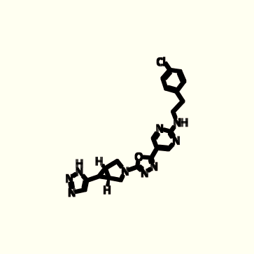 Clc1ccc(CCNc2ncc(-c3nnc(N4C[C@@H]5C(c6cnn[nH]6)[C@@H]5C4)o3)cn2)cc1